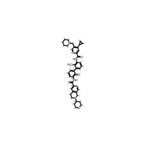 Cc1c(NC(=O)c2cc(C3CC3)c(CN3CCCCC3)cn2)cccc1-c1cccc(NC(=O)c2cc3c(cn2)CN(C2CCOCC2)CC3)c1Cl